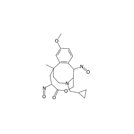 COc1ccc2c(c1)C1(C)CCN(CC3CC3)C(COC(=O)C(N=O)C1)C2N=O